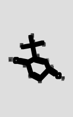 CC(C)(C)C1=CC(=O)C=CC1=O